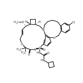 CO[C@H]1/C=C/COC(C)(C)C(=O)N=[S@](=O)(NC(=O)NC2CCC2)c2ccc3c(c2)N(CCCCc2cc(Cl)ccc2CO3)C[C@@H]2CC[C@H]21